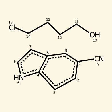 N#Cc1ccc2[nH]ccc2c1.OCCCCCl